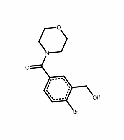 O=C(c1ccc(Br)c(CO)c1)N1CCOCC1